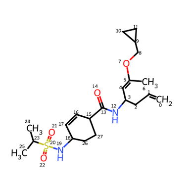 C=CCC(/C=C(\C)OCC1CC1)NC(=O)C1C=CC(NS(=O)(=O)C(C)C)CC1